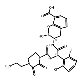 NCCN1CCN(C(=O)N[C@@H](C(=O)N[C@H]2Cc3cccc(C(=O)O)c3OB2O)c2c(Cl)cccc2Cl)C(=O)C1=O